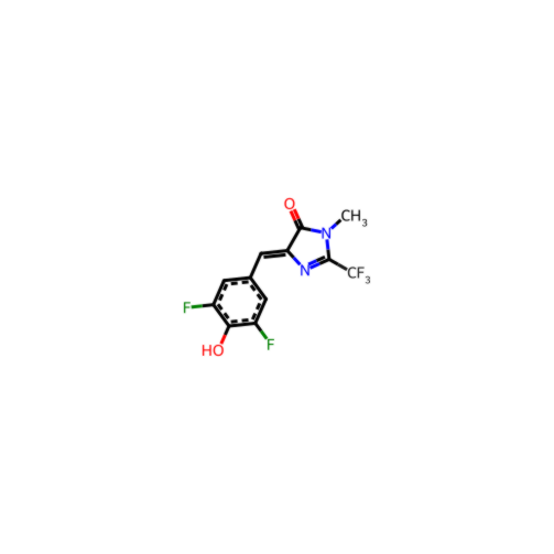 CN1C(=O)C(=Cc2cc(F)c(O)c(F)c2)N=C1C(F)(F)F